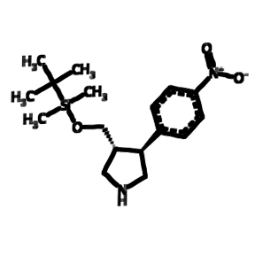 CC(C)(C)[Si](C)(C)OC[C@H]1CNC[C@@H]1c1ccc([N+](=O)[O-])cc1